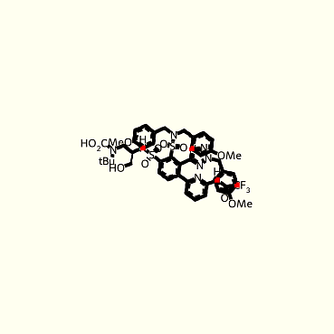 COc1ccc(CN(Cc2ccc(OC)cc2)S(=O)(=O)c2c(S(=O)(=O)N[C@@H](CO)CN(C(=O)O)C(C)(C)C)ccc(-c3cccc(NC(=O)C(F)(F)F)n3)c2-c2nnn(Cc3ccc(OC)cc3)n2)cc1